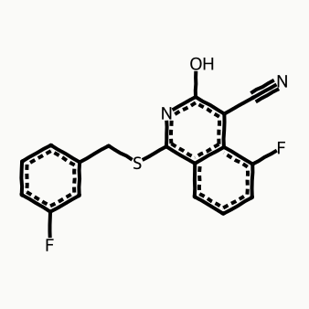 N#Cc1c(O)nc(SCc2cccc(F)c2)c2cccc(F)c12